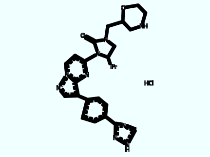 CC(C)C1CN(CC2CNCCO2)C(=O)N1c1ccn2ncc(-c3ccc(-c4nc[nH]n4)cc3)c2n1.Cl